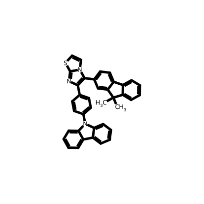 CC1(C)c2ccccc2-c2ccc(-c3c(-c4ccc(-n5c6ccccc6c6ccccc65)cc4)nc4sccn34)cc21